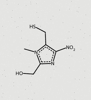 Cn1c(CO)nc([N+](=O)[O-])c1CS